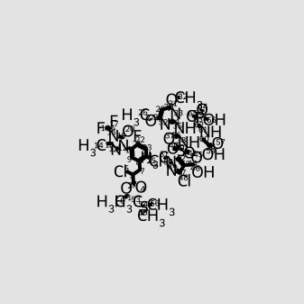 CCOC(=O)C(Cl)Cc1cc(-n2nc(C)n(C(F)F)c2=O)c(F)cc1Cl.COc1cc(OC)nc(NC(=O)NS(=O)(=O)c2c(C(=O)O)c(Cl)nn2C)n1.C[S+](C)C.O=C(O)CNCP(=O)([O-])O